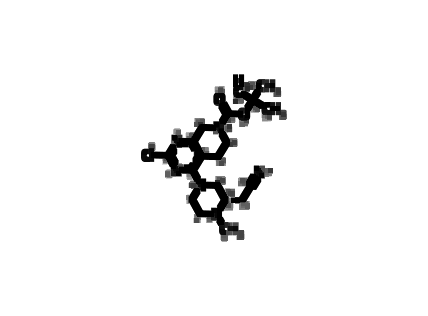 CN1CCN(c2nc(Cl)nc3c2CCN(C(=O)OC(C)(C)C)C3)C[C@@H]1CC#N